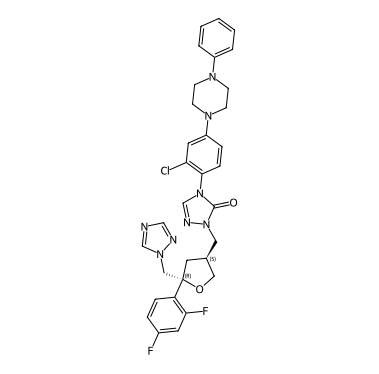 O=c1n(-c2ccc(N3CCN(c4ccccc4)CC3)cc2Cl)cnn1C[C@H]1CO[C@@](Cn2cncn2)(c2ccc(F)cc2F)C1